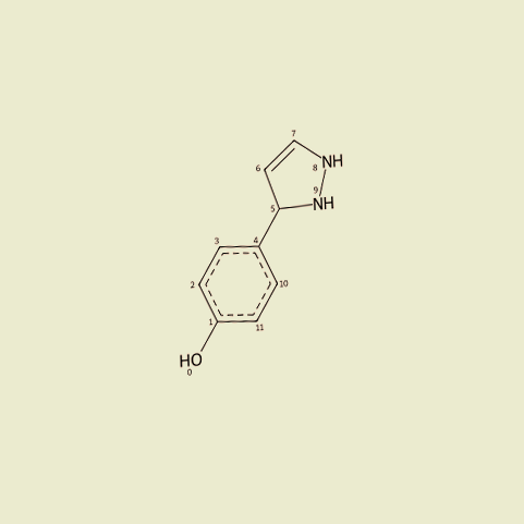 Oc1ccc(C2C=CNN2)cc1